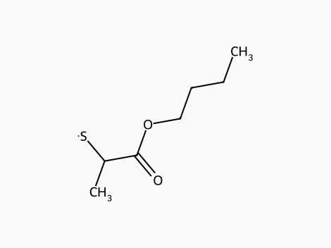 CCCCOC(=O)C(C)[S]